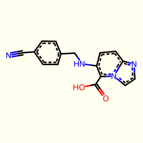 N#Cc1ccc(CNc2ccc3nccn3c2C(=O)O)cc1